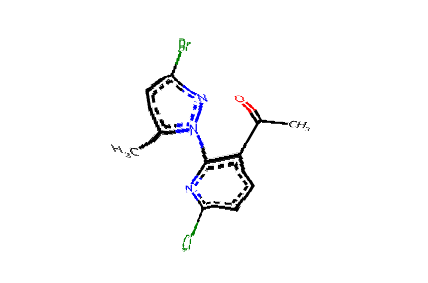 CC(=O)c1ccc(Cl)nc1-n1nc(Br)cc1C